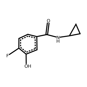 O=C(NC1CC1)c1ccc(F)c(O)c1